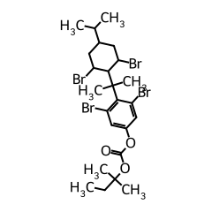 CCC(C)(C)OC(=O)Oc1cc(Br)c(C(C)(C)C2C(Br)CC(C(C)C)CC2Br)c(Br)c1